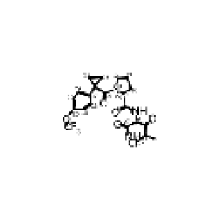 CC(Cl)C(=O)[C@H](NC(=O)[C@@H]1CCCN1C(=O)C1(c2ccc(OC(F)(F)F)cc2)CC1)C(N)=O